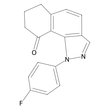 O=C1CCCc2ccc3cnn(-c4ccc(F)cc4)c3c21